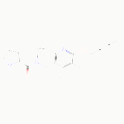 COc1nc(OCC(F)(F)C(F)(F)C(F)(F)F)c(F)cc1CN(C)C(=O)[C@@H]1CCCN1.Cl